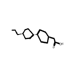 CCC[C@H]1CC[C@H](C2CCC(CC(=O)O)CC2)CC1